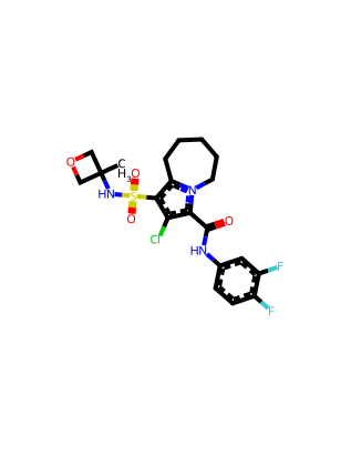 CC1(NS(=O)(=O)c2c(Cl)c(C(=O)Nc3ccc(F)c(F)c3)n3c2CCCCC3)COC1